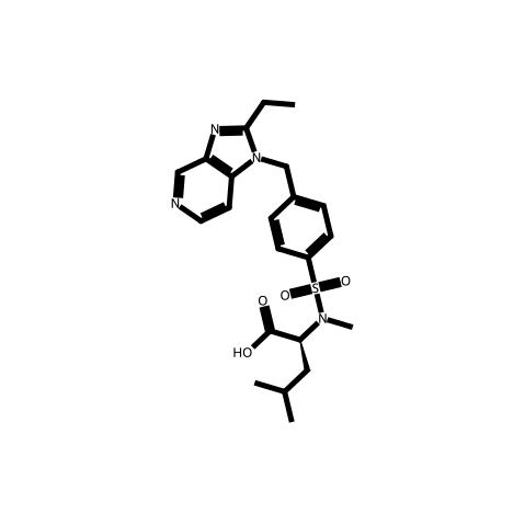 CCc1nc2cnccc2n1Cc1ccc(S(=O)(=O)N(C)[C@@H](CC(C)C)C(=O)O)cc1